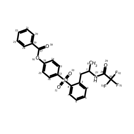 CC(Cc1ccccc1S(=O)(=O)c1ccc(OC(=O)c2ccccc2)cc1)NC(=O)C(F)(F)F